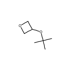 CC(C)(C)OC1COC1